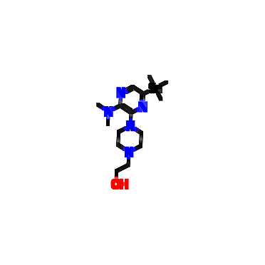 CN(C)c1nc[c]([Sn]([CH3])([CH3])[CH3])nc1N1CCN(CCO)CC1